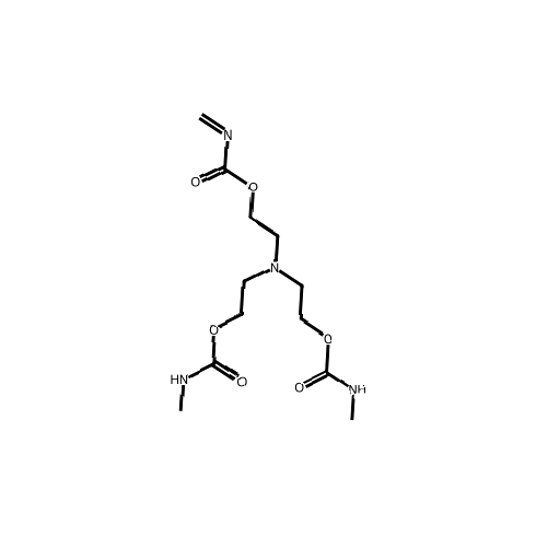 C=NC(=O)OCCN(CCOC(=O)NC)CCOC(=O)NC